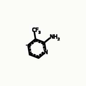 Nc1ncc[c]c1C(F)(F)F